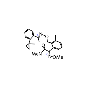 CNC(=O)/C(=N/OC)c1cccc(C)c1CO/N=C(\C)c1ccccc1C1(C)CC1